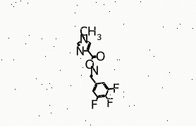 Cn1cnc(C(=O)ON=Cc2cc(F)c(F)c(F)c2)c1